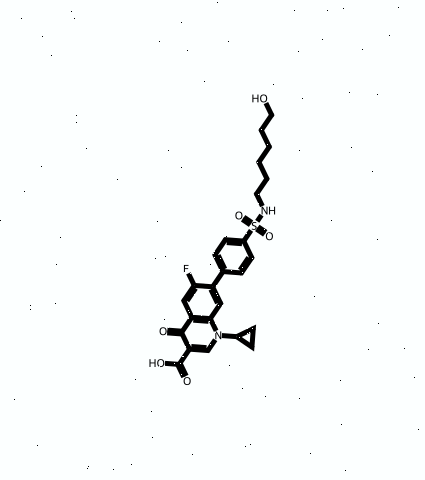 O=C(O)c1cn(C2CC2)c2cc(-c3ccc(S(=O)(=O)NCCCCCCO)cc3)c(F)cc2c1=O